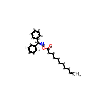 C=CCCCCCCCCC(=O)ON=C(c1ccccc1)c1ccccc1